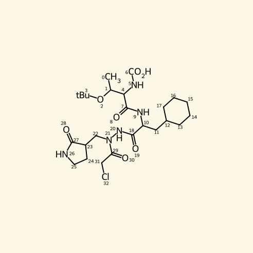 CC(OC(C)(C)C)C(NC(=O)O)C(=O)NC(CC1CCCCC1)C(=O)NN(CC1CCNC1=O)C(=O)CCl